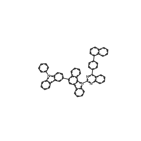 c1ccc(-n2c3ccccc3c3cc(-c4cc5c6ccccc6n(-c6nc(-c7ccc(-c8cccc9ccccc89)cc7)c7ccccc7n6)c5c5ccccc45)ccc32)cc1